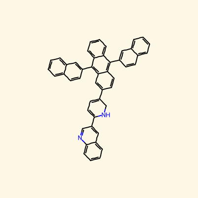 C1=C(c2ccc3c(-c4ccc5ccccc5c4)c4ccccc4c(-c4ccc5ccccc5c4)c3c2)CNC(c2cnc3ccccc3c2)=C1